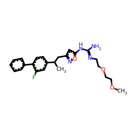 COCCOCCN=C(N)Nc1cc(CC(C)c2ccc(-c3ccccc3)c(F)c2)no1